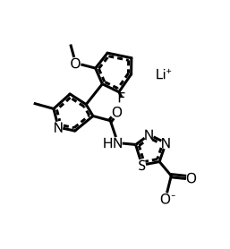 COc1cccc(F)c1-c1cc(C)ncc1C(=O)Nc1nnc(C(=O)[O-])s1.[Li+]